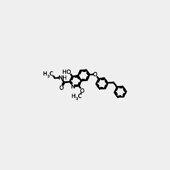 CCNC(=O)c1nc(OC)c2cc(Oc3cccc(Cc4ccccc4)c3)ccc2c1O